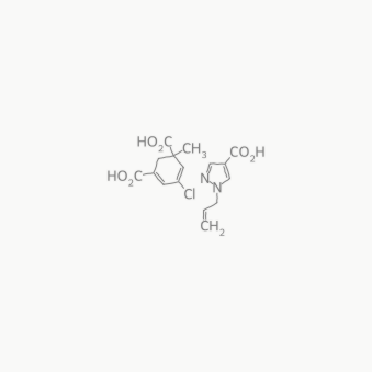 C=CCn1cc(C(=O)O)cn1.CC1(C(=O)O)C=C(Cl)C=C(C(=O)O)C1